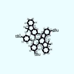 CC(C)(C)c1ccc(N2B3c4cc5c(cc4-n4c6ccc(C(C)(C)C)cc6c6c7c(c(c3c64)-c3cc(C(C)(C)C)ccc32)-c2ccccc2C7(C)C)-c2ccccc2C5(C)C)cc1